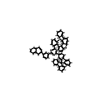 c1cc(-c2ccc3ccccc3c2)cc(-c2nc(-c3ccc4c(c3)C3(c5ccccc5-c5ccccc53)c3ccccc3-4)nc(-c3cccc4c3c3cccc5sc6ccc7c8ccccc8n4c7c6c53)n2)c1